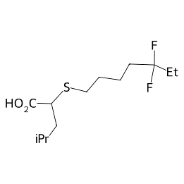 CCC(F)(F)CCCCSC(CC(C)C)C(=O)O